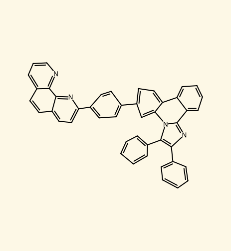 c1ccc(-c2nc3c4ccccc4c4ccc(-c5ccc(-c6ccc7ccc8cccnc8c7n6)cc5)cc4n3c2-c2ccccc2)cc1